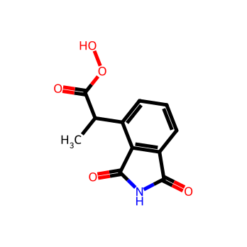 CC(C(=O)OO)c1cccc2c1C(=O)NC2=O